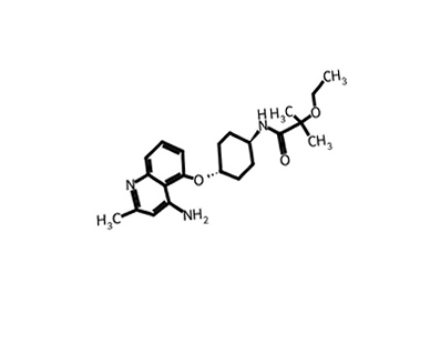 CCOC(C)(C)C(=O)N[C@H]1CC[C@H](Oc2cccc3nc(C)cc(N)c23)CC1